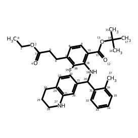 CCOC(=O)CCc1ccc(C(=O)OC(C)(C)C)c(NC(c2ccc3c(c2)NCCC3)c2ccccc2C)c1F